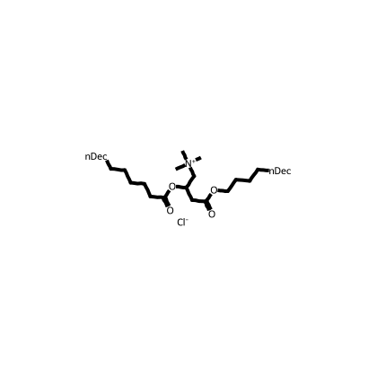 CCCCCCCCCCCCCCCC(=O)OC(CC(=O)OCCCCCCCCCCCCCC)C[N+](C)(C)C.[Cl-]